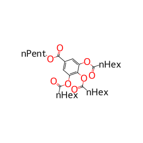 CCCCCCC(=O)Oc1cc(C(=O)OCCCCC)cc(OC(=O)CCCCCC)c1OC(=O)CCCCCC